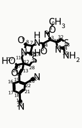 CON=C(C(=O)NC1C(=O)N2CC(C=Cc3ccc(C#N)cc3C#N)(C(=O)O)CS[C@H]12)c1csc(N)n1